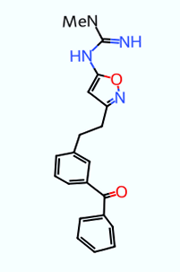 CNC(=N)Nc1cc(CCc2cccc(C(=O)c3ccccc3)c2)no1